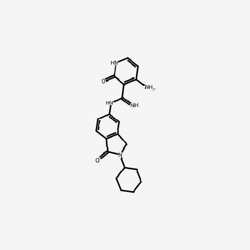 N=C(Nc1ccc2c(c1)CN(C1CCCCC1)C2=O)c1c(N)cc[nH]c1=O